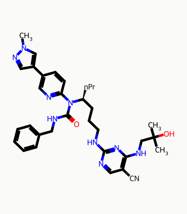 CCC[C@@H](CCCNc1ncc(C#N)c(NCC(C)(C)O)n1)N(C(=O)NCc1ccccc1)c1ccc(-c2cnn(C)c2)cn1